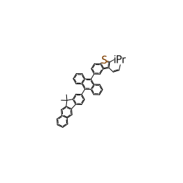 C/C=C\c1c(C(C)C)sc2ccc(-c3c4ccccc4c(-c4ccc5c(c4)C(C)(C)c4cc6ccccc6cc4-5)c4ccccc34)cc12